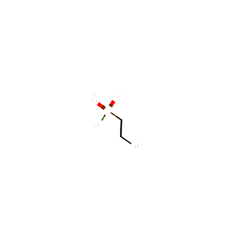 [CH2]CCCCS(=O)(=O)F